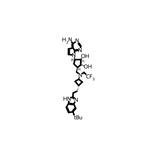 CC(C)(C)c1ccc2[nH]c(CC[C@H]3C[C@H](N(C[C@H]4C[C@@H](n5ccc6c(N)ncnc65)[C@H](O)[C@@H]4O)CC(F)(F)F)C3)nc2c1